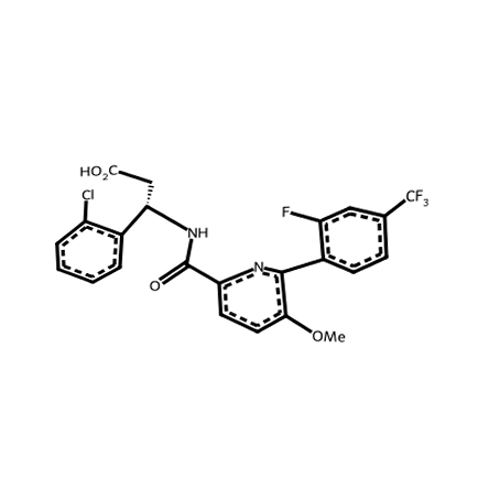 COc1ccc(C(=O)N[C@@H](CC(=O)O)c2ccccc2Cl)nc1-c1ccc(C(F)(F)F)cc1F